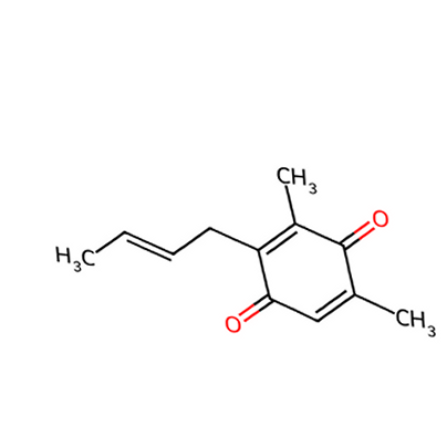 CC=CCC1=C(C)C(=O)C(C)=CC1=O